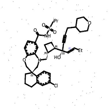 CC/C=C/[C@](O)(C#CCC1CCOCC1)[C@@H]1CC[C@H]1CN1C[C@@]2(CCCc3cc(Cl)ccc32)COc2ccc(C(=O)NS(=O)(=O)C(C)C)cc21